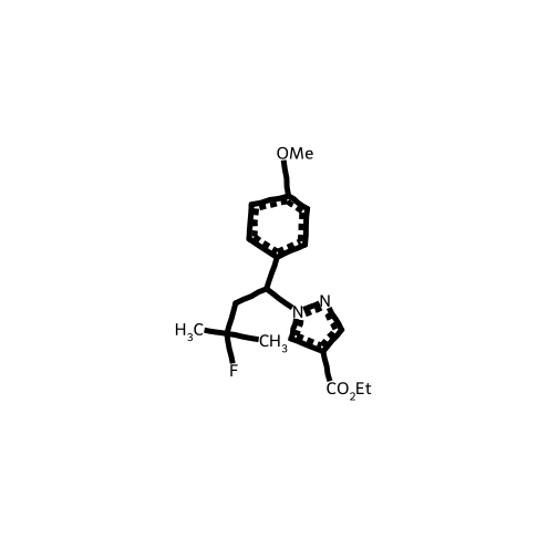 CCOC(=O)c1cnn(C(CC(C)(C)F)c2ccc(OC)cc2)c1